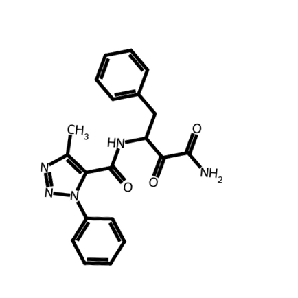 Cc1nnn(-c2ccccc2)c1C(=O)NC(Cc1ccccc1)C(=O)C(N)=O